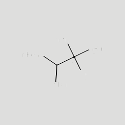 CCCCC[C](CCCC)C(CC)(CCC)CCCC